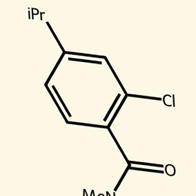 CNC(=O)c1ccc(C(C)C)cc1Cl